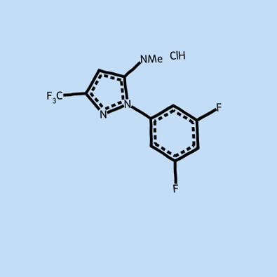 CNc1cc(C(F)(F)F)nn1-c1cc(F)cc(F)c1.Cl